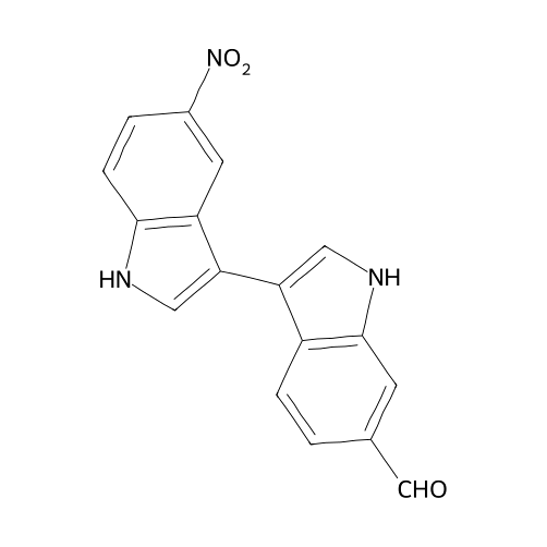 O=Cc1ccc2c(-c3c[nH]c4ccc([N+](=O)[O-])cc34)c[nH]c2c1